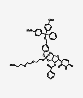 CC[C@H]1O[C@@H](n2ccc(=O)[nH]c2=O)C(OC(=O)c2ccccc2)C1OP(=O)(OCCOCCOCCOC)Oc1ccc(COC(c2ccccc2)(c2ccc(OC)cc2)c2ccc(OC)cc2)cc1